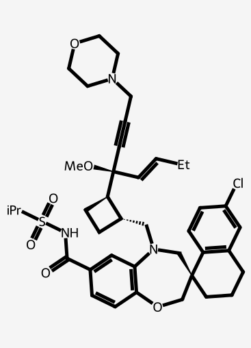 CC/C=C/[C@](C#CCN1CCOCC1)(OC)[C@@H]1CC[C@H]1CN1C[C@@]2(CCCc3cc(Cl)ccc32)COc2ccc(C(=O)NS(=O)(=O)C(C)C)cc21